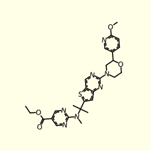 CCOC(=O)c1cnc(N(C)C(C)(C)c2cc3nc(N4CCOC(c5ccc(OC)nc5)C4)ncc3s2)nc1